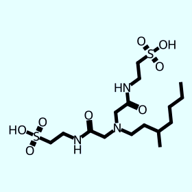 CCCCC(C)CCN(CC(=O)NCCS(=O)(=O)O)CC(=O)NCCS(=O)(=O)O